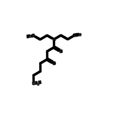 COCCN(CCOC)C(=O)CC(=O)CCCC(=O)O